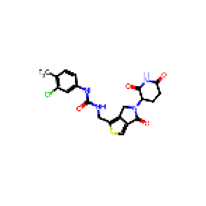 O=C1CCC(N2Cc3c(csc3CNC(=O)Nc3ccc(C(F)(F)F)c(Cl)c3)C2=O)C(=O)N1